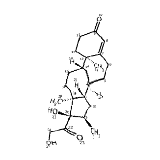 C[C@@H]1C[C@H]2[C@@H]3CCC4=CC(=O)CC[C@]4(C)[C@H]3CC[C@]2(C)[C@@]1(O)C(=O)CO